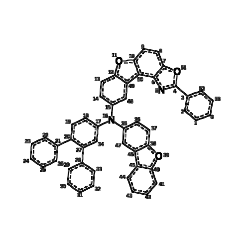 c1ccc(-c2nc3c(ccc4oc5ccc(N(c6ccc(-c7ccccc7)c(-c7ccccc7)c6)c6ccc7oc8ccccc8c7c6)cc5c43)o2)cc1